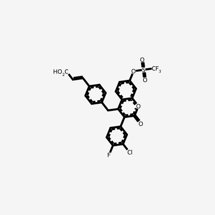 O=C(O)/C=C/c1ccc(Cc2c(-c3ccc(F)c(Cl)c3)c(=O)oc3cc(OS(=O)(=O)C(F)(F)F)ccc23)cc1